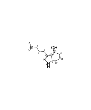 [CH3][In]([CH3])[CH2]CCc1c[nH]c2cccc(O)c12